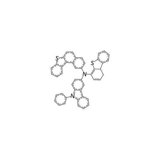 C1=CC(N(c2ccc3ccc4sc5ccccc5c4c3c2)c2ccc3c(c2)c2ccccc2n3-c2ccccc2)=C2Sc3ccccc3C2C1